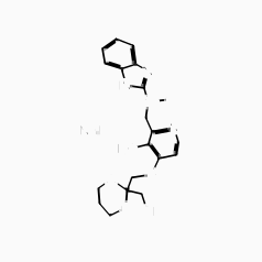 CCC1(COc2ccnc(C[S+]([O-])c3nc4ccccc4[nH]3)c2C)OCCCO1.[NaH]